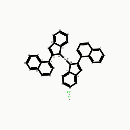 C1=C(c2cccc3ccccc23)[CH]([Zr+2][CH]2C(c3cccc4ccccc34)=Cc3ccccc32)c2ccccc21.[Cl-].[Cl-]